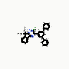 CC1(C)c2ccccc2-c2nc(-c3cc(-c4ccccc4)cc(-c4ccccc4)c3)c(Cl)nc21